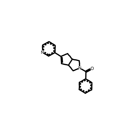 O=C(c1ccccc1)N1CC2C=C(c3cccnc3)CC2C1